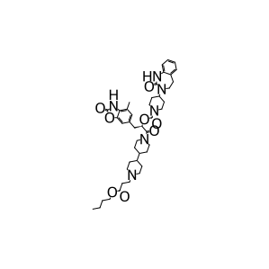 CCCCOC(=O)CCN1CCC(C2CCN(C(=O)[C@@H](Cc3cc(C)c4[nH]c(=O)oc4c3)OC(=O)N3CCC(N4CCc5ccccc5NC4=O)CC3)CC2)CC1